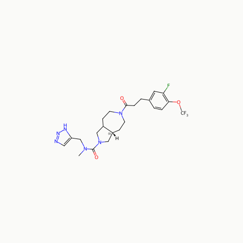 CN(Cc1cnn[nH]1)C(=O)N1CC2CCN(C(=O)CCc3ccc(OC(F)(F)F)c(F)c3)CC[C@@H]2C1